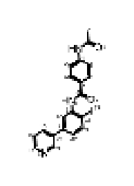 CC(=O)Nc1ccc(C(=O)Nc2cc(-c3cccnc3)ccc2I)cc1